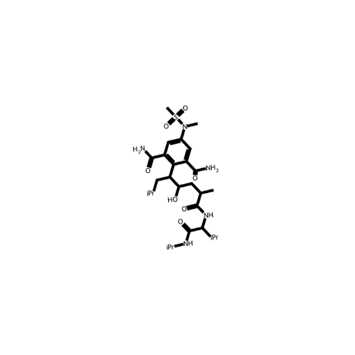 CC(C)CC(c1c(C(N)=O)cc(N(C)S(C)(=O)=O)cc1C(N)=O)C(O)CC(C)C(=O)NC(C(=O)NC(C)C)C(C)C